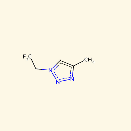 Cc1[c]n(CC(F)(F)F)nn1